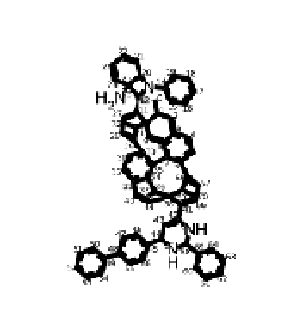 CC1C=c2ccc3c4c2=CC12C([C@@H]1N(c5ccccc5)C5C=CC=CC51N)=CC=C(c1ccc5c(c1-4)C(C)C1(C=C5)C(C4=CC(c5ccc(-c6ccccc6)cc5)NC(c5ccccc5)N4)=CC=C3C1C)C2C